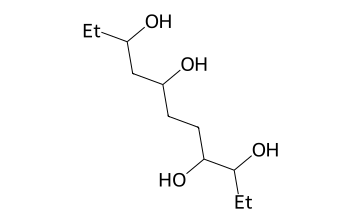 CCC(O)CC(O)CCC(O)C(O)CC